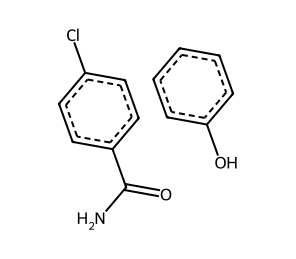 NC(=O)c1ccc(Cl)cc1.Oc1ccccc1